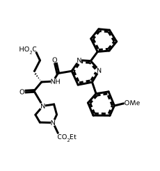 CCOC(=O)N1CCN(C(=O)[C@H](CCC(=O)O)NC(=O)c2cc(-c3cccc(OC)c3)nc(-c3ccccc3)n2)CC1